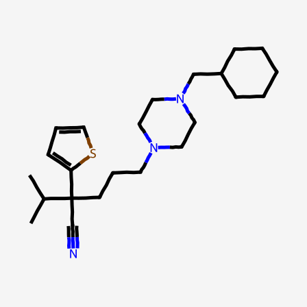 CC(C)C(C#N)(CCCN1CCN(CC2CCCCC2)CC1)c1cccs1